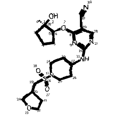 C[C@@]1(O)CCC[C@@H]1Oc1nc(NC2CCN(S(=O)(=O)CC3CCOC3)CC2)ncc1C#N